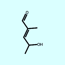 C/C(C=O)=C\C(C)O